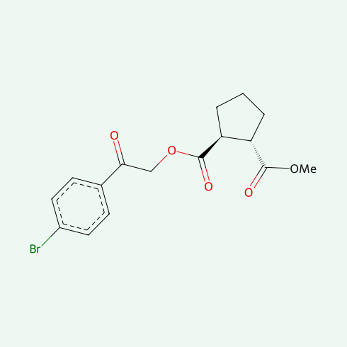 COC(=O)[C@H]1CCC[C@@H]1C(=O)OCC(=O)c1ccc(Br)cc1